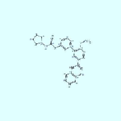 NCc1ccc(C(=O)Nc2ccncc2F)cc1-c1cccc(CC(=O)OC2CCCC2)c1